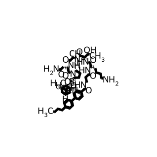 CCCCc1ccc(-c2ccc(C(=O)NCCC(=O)N[C@@H](CCCCN)C(=O)N[C@H](C(=O)N[C@@H](C)C(=O)N[C@@H](CC(N)=O)C(=O)N3CCC[C@H]3B3OC4C[C@@H]5C[C@@H](C5(C)C)[C@]4(C)O3)C(C)O)cc2)cc1